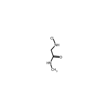 CNC(=O)CNCl